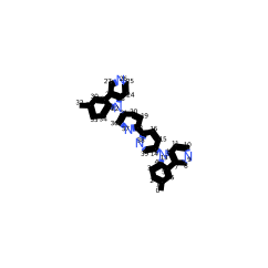 Cc1ccc2c(c1)c1cnccc1n2-c1ccc(-c2ccc(-n3c4ccncc4c4cc(C)ccc43)cn2)nc1